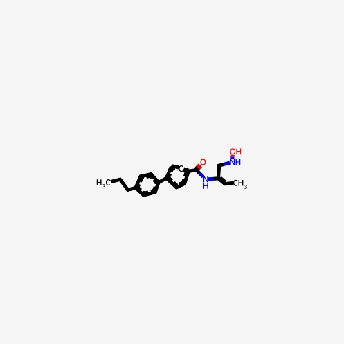 CC=C(CNO)NC(=O)c1ccc(-c2ccc(CCC)cc2)cc1